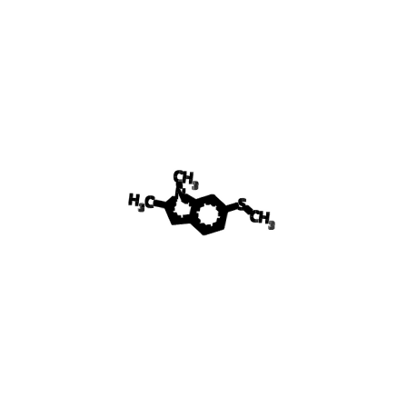 CSc1ccc2cc(C)n(C)c2c1